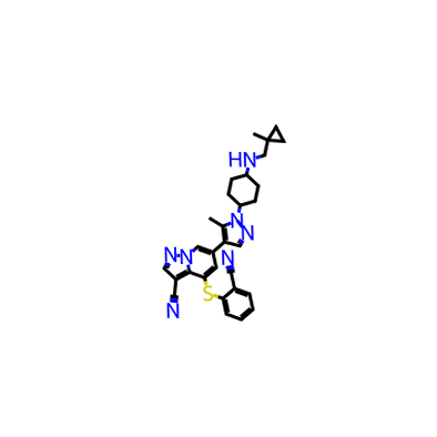 Cc1c(-c2cc(Sc3ccccc3C#N)c3c(C#N)cnn3c2)cnn1C1CCC(NCC2(C)CC2)CC1